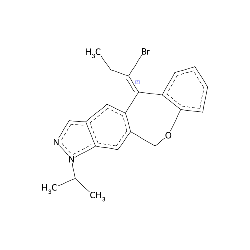 CC/C(Br)=C1\c2cc3cnn(C(C)C)c3cc2COc2ccccc21